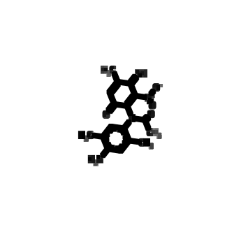 CC(=O)N(C1=C([N+](=O)[O-])C(=N)C(C)=CC1=O)c1cc(C)c(N)cc1C